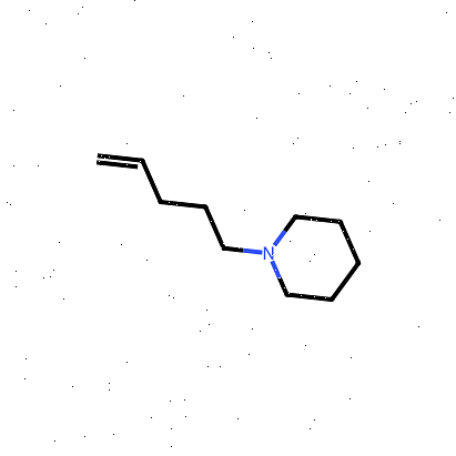 C=CCCCN1CCCCC1